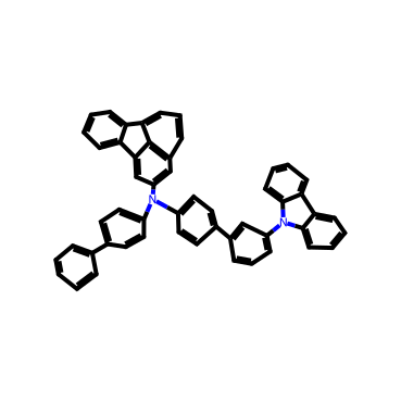 c1ccc(-c2ccc(N(c3ccc(-c4cccc(-n5c6ccccc6c6ccccc65)c4)cc3)c3cc4c5c(cccc5c3)-c3ccccc3-4)cc2)cc1